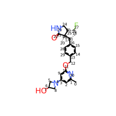 Cc1cc(N2CC(O)C2)cc(OCc2ccc([C@@H](C)[C@@]3(C)C(=O)NC[C@@H]3CF)cc2)n1